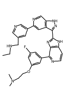 CCNCc1cncc(-c2cc3c(-c4nc5c(-c6cc(F)cc(OCCN(C)C)c6)nccc5[nH]4)n[nH]c3cn2)c1